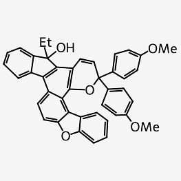 CCC1(O)c2ccccc2-c2c1c1c(c3c2ccc2oc4ccccc4c23)OC(c2ccc(OC)cc2)(c2ccc(OC)cc2)C=C1